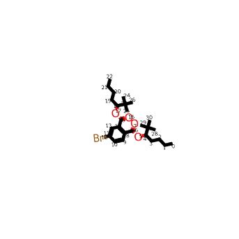 CCCCC(OC(=O)c1ccc(Br)cc1C(=O)OC(CCCC)C(C)(C)C)C(C)(C)C